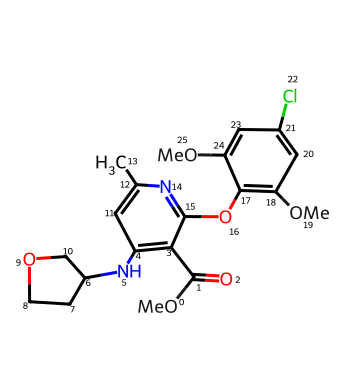 COC(=O)c1c(NC2CCOC2)cc(C)nc1Oc1c(OC)cc(Cl)cc1OC